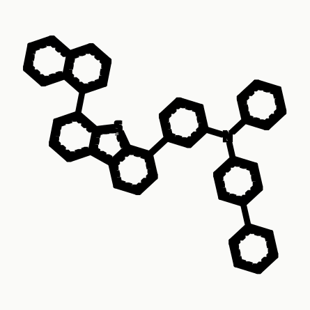 c1ccc(-c2ccc(N(c3ccccc3)c3cccc(-c4cccc5c4sc4c(-c6cccc7ccccc67)cccc45)c3)cc2)cc1